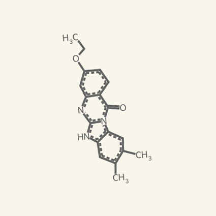 CCOc1ccc2c(=O)n3c(nc2c1)[nH]c1cc(C)c(C)cc13